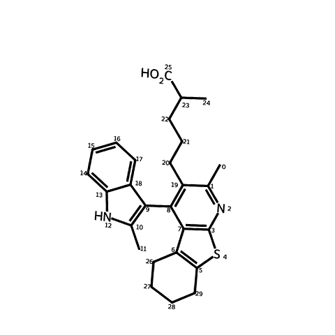 Cc1nc2sc3c(c2c(-c2c(C)[nH]c4ccccc24)c1CCCC(C)C(=O)O)CCCC3